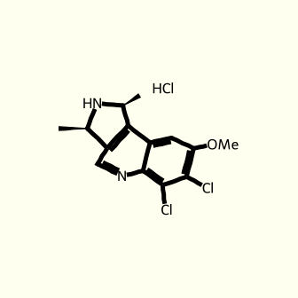 COc1cc2c3c(cnc2c(Cl)c1Cl)[C@@H](C)N[C@H]3C.Cl